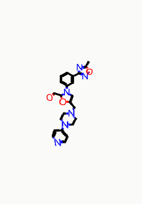 Cc1nc(-c2cccc(N3CC(CN4CCN(c5ccncc5)CC4)OC3C=O)c2)no1